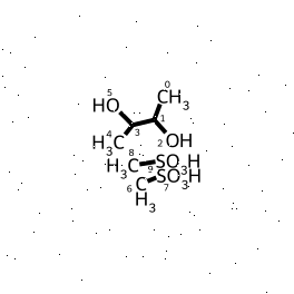 CC(O)C(C)O.CS(=O)(=O)O.CS(=O)(=O)O